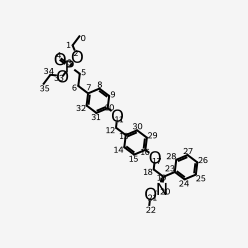 CCOP(=O)(CCc1ccc(OCc2ccc(OC/C(=N\OC)c3ccccc3)cc2)cc1)OCC